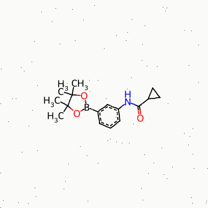 CC1(C)OB(c2cccc(NC(=O)C3CC3)c2)OC1(C)C